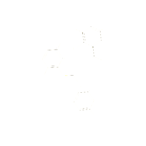 Cc1ccc(S(=O)(=O)O)cc1SCC(F)(F)F.Oc1c(S)cccc1CC(F)(F)F.Oc1ccccc1